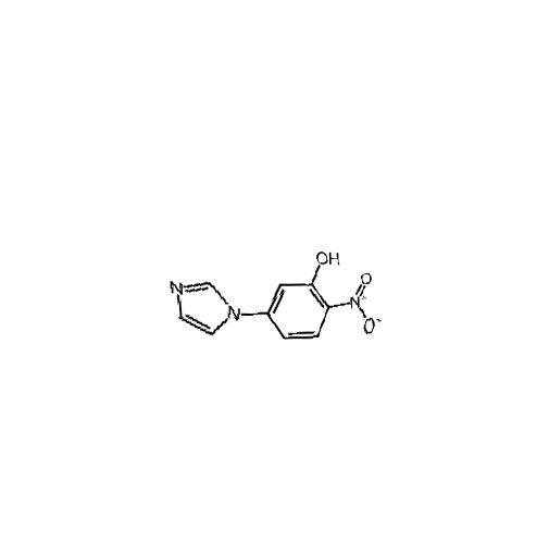 O=[N+]([O-])c1ccc(-n2ccnc2)cc1O